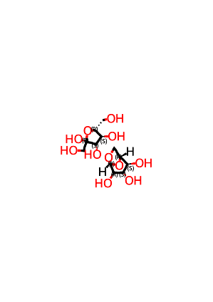 OC[C@H]1O[C@](O)(CO)[C@@H](O)[C@@H]1O.O[C@@H]1[C@@H](O)[C@@H]2OC[C@@H](O2)[C@H]1O